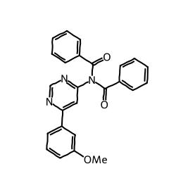 COc1cccc(-c2cc(N(C(=O)c3ccccc3)C(=O)c3ccccc3)ncn2)c1